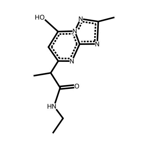 CCNC(=O)C(C)c1cc(O)n2nc(C)nc2n1